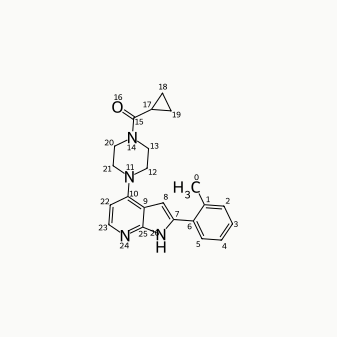 Cc1ccccc1-c1cc2c(N3CCN(C(=O)C4CC4)CC3)ccnc2[nH]1